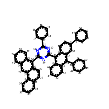 c1ccc(-c2ccc3c(-c4nc(-c5ccccc5)nc(-c5c6ccccc6cc6c5ccc5ccccc56)n4)c4ccccc4c(-c4ccccc4)c3c2)cc1